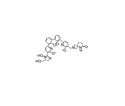 COc1nc(-c2cccc(-c3cccc(-c4ccc(C5=NCC(CO)N5O)c(OC)n4)c3Cl)c2Cl)ccc1CN1CC2(CCC(=O)N2)C1